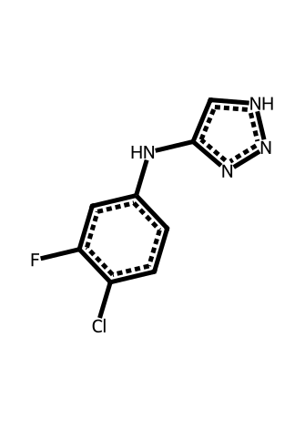 Fc1cc(Nc2c[nH]nn2)ccc1Cl